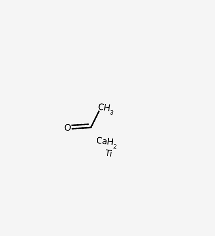 CC=O.[CaH2].[Ti]